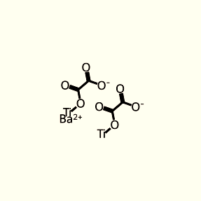 O=C([O-])C(=O)[O][Ti].O=C([O-])C(=O)[O][Ti].[Ba+2]